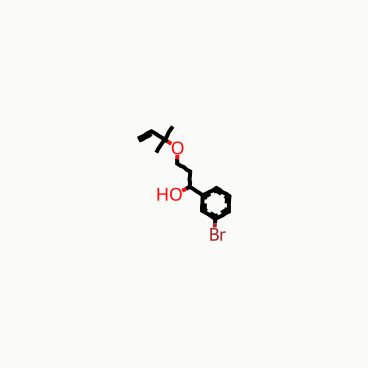 C=CC(C)(C)OCCC(O)c1cccc(Br)c1